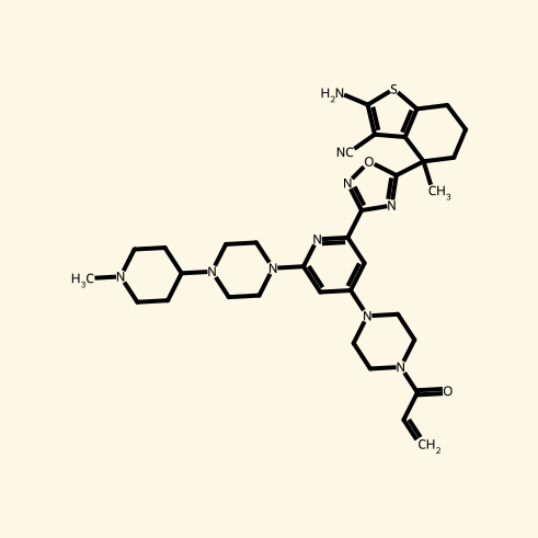 C=CC(=O)N1CCN(c2cc(-c3noc(C4(C)CCCc5sc(N)c(C#N)c54)n3)nc(N3CCN(C4CCN(C)CC4)CC3)c2)CC1